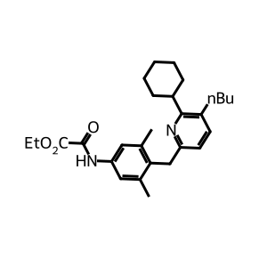 CCCCc1ccc(Cc2c(C)cc(NC(=O)C(=O)OCC)cc2C)nc1C1CCCCC1